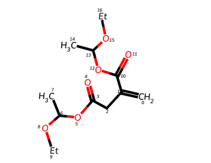 C=C(CC(=O)OC(C)OCC)C(=O)OC(C)OCC